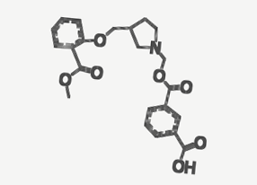 COC(=O)c1ccccc1OCC1CCN(COC(=O)c2cccc(C(=O)O)c2)C1